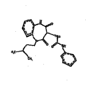 CC(C)CCN1C(=O)C(NC(=O)Nc2ccccc2)C(=O)Nc2ccccc21